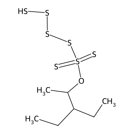 CCC(CC)C(C)OS(=S)(=S)SSSS